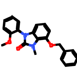 COc1cc[c]cc1-n1c(=O)n(C)c2c(OCc3ccccc3)cccc21